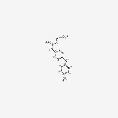 CC(C=CC(=O)O)Oc1ccc(Oc2ccc(C(F)(F)F)cn2)cc1